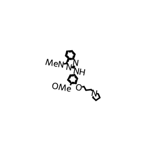 CNc1nc(Nc2ccc(OC)c(OCCCN3CCCC3)c2)nc2ccccc12